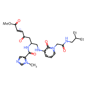 CCC(CC)CNC(=O)Cn1cccc(NCC(CC(=O)/C=C/C(=O)OC)NC(=O)c2cncn2C)c1=O